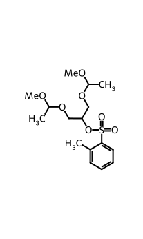 COC(C)OCC(COC(C)OC)OS(=O)(=O)c1ccccc1C